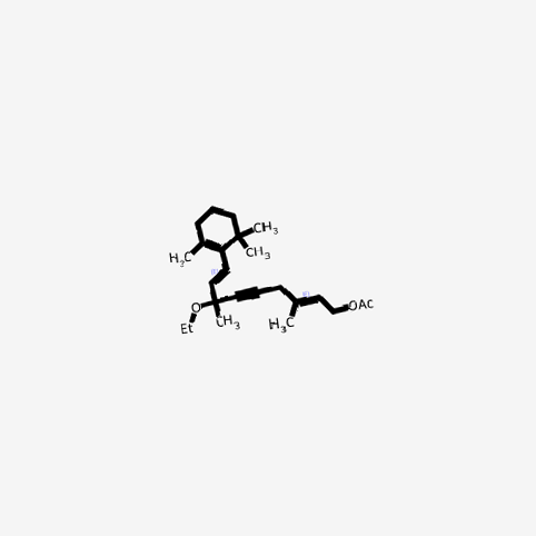 CCOC(C)(C#CC/C(C)=C/COC(C)=O)/C=C/C1=C(C)CCCC1(C)C